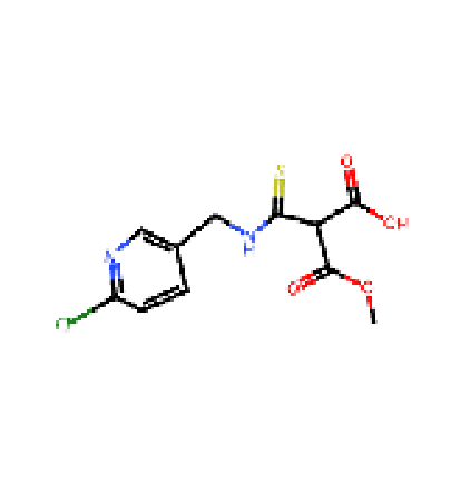 COC(=O)C(C(=O)O)C(=S)NCc1ccc(Cl)nc1